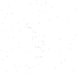 Cc1nnc(-c2ccc(-c3ccc(N(C)C4CC5CCC(C4)N5)nn3)c(O)c2)o1